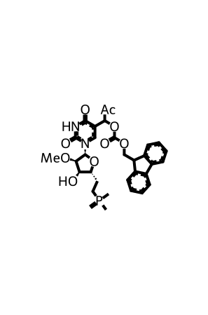 C=P(C)(C)CC[C@H]1O[C@@H](n2cc(C(OC(=O)OCC3c4ccccc4-c4ccccc43)C(C)=O)c(=O)[nH]c2=O)[C@H](OC)[C@@H]1O